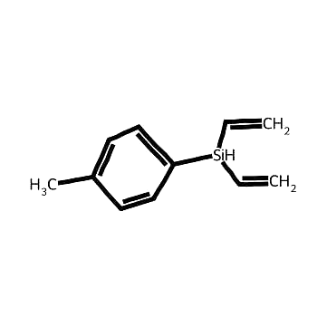 C=C[SiH](C=C)c1ccc(C)cc1